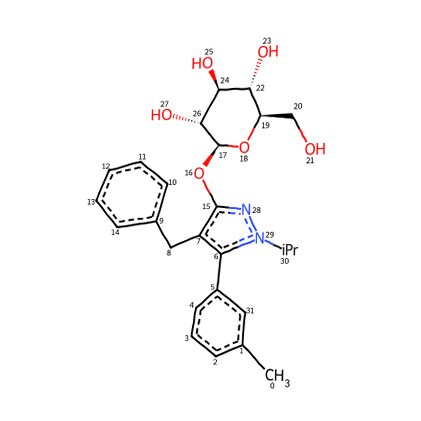 Cc1cccc(-c2c(Cc3ccccc3)c(O[C@@H]3O[C@H](CO)[C@@H](O)[C@H](O)[C@H]3O)nn2C(C)C)c1